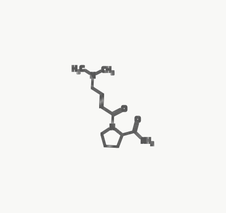 CN(C)CC=CC(=O)N1CCCC1C(N)=O